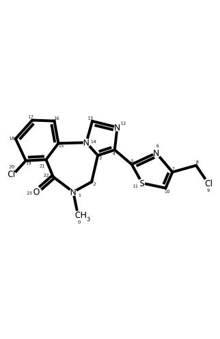 CN1Cc2c(-c3nc(CCl)cs3)ncn2-c2cccc(Cl)c2C1=O